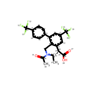 CCN(Cc1c(-c2ccc(C(F)(F)F)cc2)cc(C(F)(F)F)cc1[C@@H](C)C(=O)O)C(C)=O